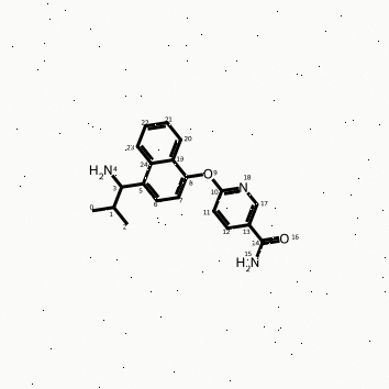 CC(C)C(N)c1ccc(Oc2ccc(C(N)=O)cn2)c2ccccc12